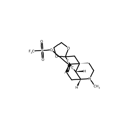 CN1CC[C@]23CC4(CC[C@H]2[C@H]1Cc1ccc(OS(=O)(=O)C(F)(F)F)cc13)OCCO4